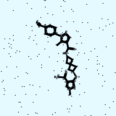 Cc1c(C(=O)N[C@H]2CC3(C2)C[C@H](Oc2nn(C)cc2C(N)=O)C3)cnn1-c1ccc(C#N)cc1